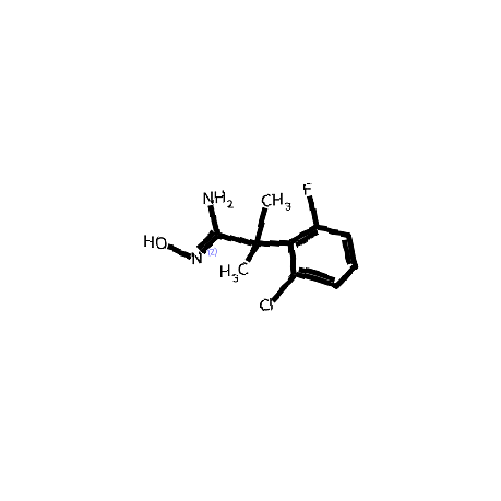 CC(C)(/C(N)=N/O)c1c(F)cccc1Cl